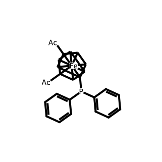 CC(=O)[C]12[CH]3[CH]4[CH]5[CH]1[Fe]45321678[CH]2[CH]1[C]6(P(c1ccccc1)c1ccccc1)[CH]7[C]28C(C)=O